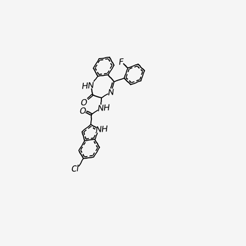 O=C(NC1N=C(c2ccccc2F)c2ccccc2NC1=O)c1cc2cc(Cl)ccc2[nH]1